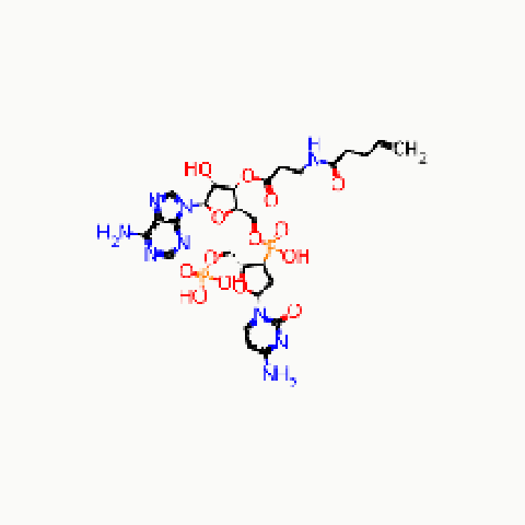 C=CCCC(=O)NCCC(=O)O[C@H]1[C@@H](O)[C@H](n2cnc3c(N)ncnc32)O[C@@H]1COP(=O)(O)[C@H]1C[C@H](n2ccc(N)nc2=O)O[C@@H]1COP(=O)(O)O